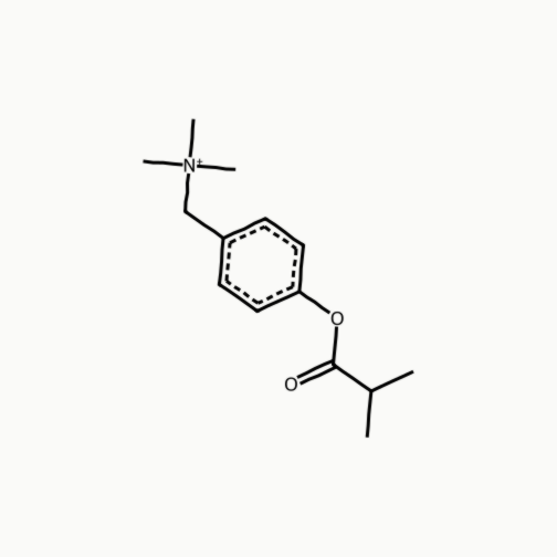 CC(C)C(=O)Oc1ccc(C[N+](C)(C)C)cc1